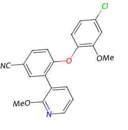 COc1cc(Cl)ccc1Oc1ccc(C#N)cc1-c1cccnc1OC